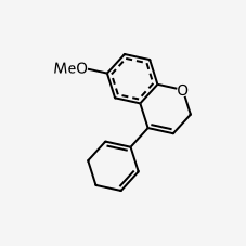 COc1ccc2c(c1)C(C1=CCCC=C1)=CCO2